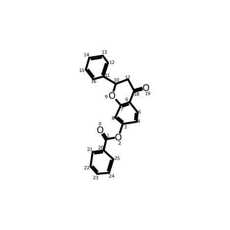 O=C(Oc1ccc2c(c1)OC(c1ccccc1)CC2=O)c1ccccc1